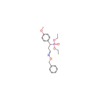 CCOP(=O)(OCC)C(CC=NOCc1ccccc1)c1ccc(OC)cc1